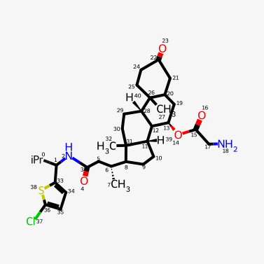 CC(C)C(NC(=O)C[C@@H](C)C1CC[C@H]2C3[C@H](OC(=O)CN)CC4CC(=O)CCC4(C)[C@H]3CCC12C)c1ccc(Cl)s1